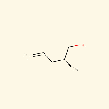 C=CC[C@H](C)CO